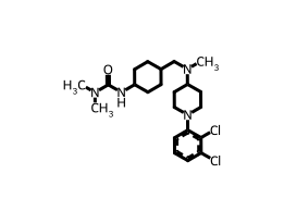 CN(C)C(=O)NC1CCC(CN(C)C2CCN(c3cccc(Cl)c3Cl)CC2)CC1